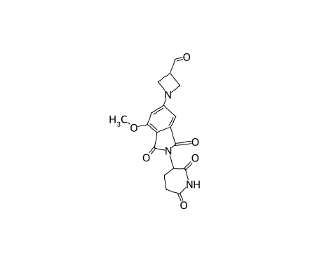 COc1cc(N2CC(C=O)C2)cc2c1C(=O)N(C1CCC(=O)NC1=O)C2=O